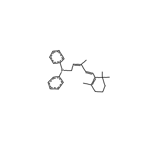 CC1=C(/C=C/C(C)=C\CP(c2ccccc2)c2ccccc2)C(C)(C)CCC1